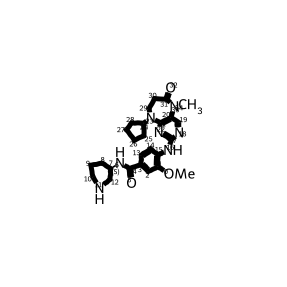 COc1cc(C(=O)N[C@H]2CCCNC2)ccc1Nc1ncc2c(n1)N(C1CCCC1)CCC(=O)N2C